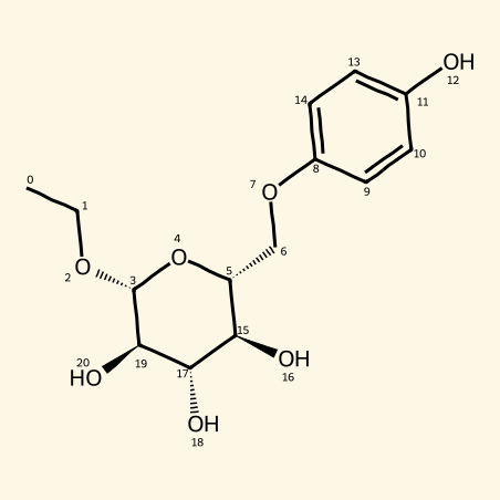 CCO[C@@H]1O[C@H](COc2ccc(O)cc2)[C@@H](O)[C@H](O)[C@H]1O